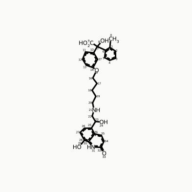 Cc1ccccc1C(O)(C(=O)O)c1cccc(OCCCCCNCC(O)c2ccc(O)c3[nH]c(=O)ccc23)c1